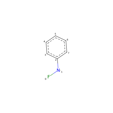 F[N]c1ccccc1